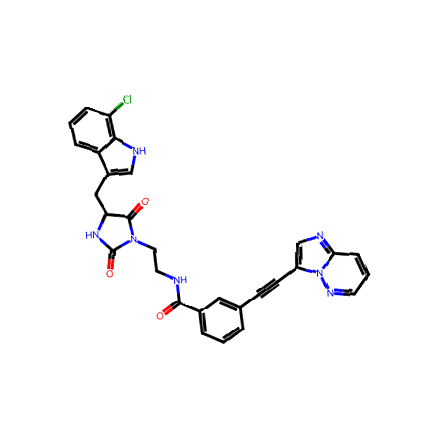 O=C(NCCN1C(=O)NC(Cc2c[nH]c3c(Cl)cccc23)C1=O)c1cccc(C#Cc2cnc3cccnn23)c1